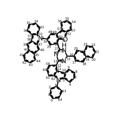 c1ccc(-n2c3ccccc3c3c(C4=NC(c5ccc6ccccc6c5)NC(c5cc(-n6c7ccccc7c7cc8ccccc8cc76)cc6c5oc5ccccc56)=N4)cccc32)cc1